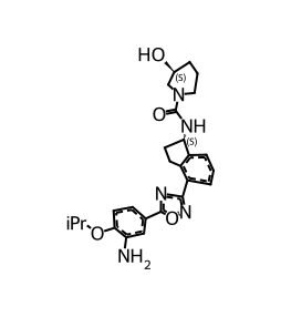 CC(C)Oc1ccc(-c2nc(-c3cccc4c3CC[C@@H]4NC(=O)N3CCC[C@H](O)C3)no2)cc1N